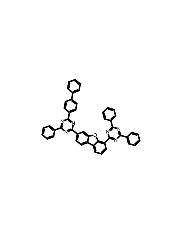 c1ccc(-c2ccc(-c3nc(-c4ccccc4)nc(-c4ccc5c(c4)oc4c(-c6nc(-c7ccccc7)nc(-c7ccccc7)n6)cccc45)n3)cc2)cc1